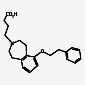 O=C(O)CCCN1CCc2cccc(OCCc3ccccc3)c2CC1